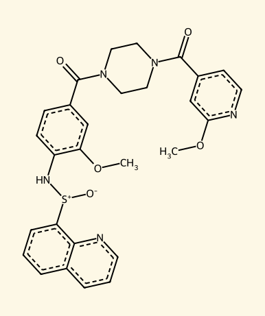 COc1cc(C(=O)N2CCN(C(=O)c3ccc(N[S+]([O-])c4cccc5cccnc45)c(OC)c3)CC2)ccn1